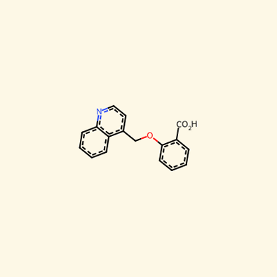 O=C(O)c1ccccc1OCc1ccnc2ccccc12